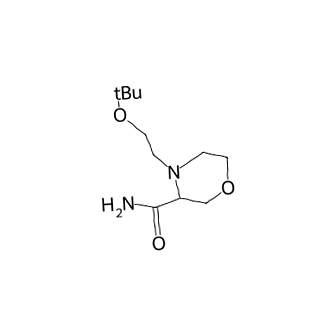 CC(C)(C)OCCN1CCOCC1C(N)=O